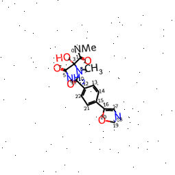 CNC(=O)C(O)(C(N)=O)N(C)C(=O)c1ccc(-c2cnco2)cc1